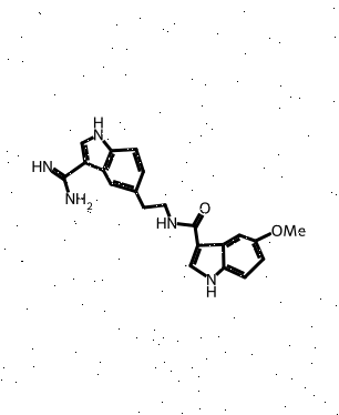 COc1ccc2[nH][c]c(C(=O)NCCc3ccc4[nH]cc(C(=N)N)c4c3)c2c1